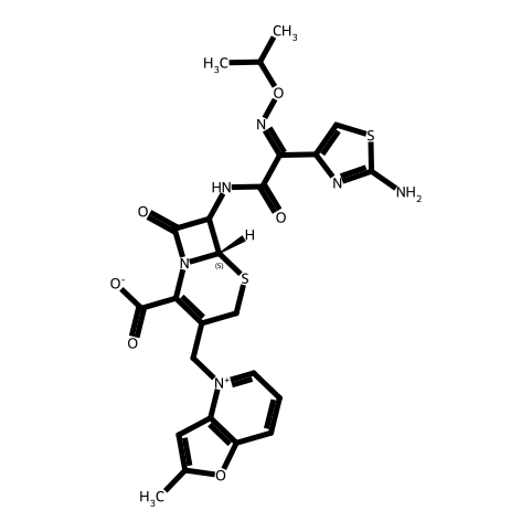 Cc1cc2c(ccc[n+]2CC2=C(C(=O)[O-])N3C(=O)C(NC(=O)C(=NOC(C)C)c4csc(N)n4)[C@@H]3SC2)o1